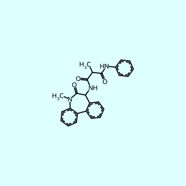 CC(C(=O)Nc1ccccc1)C(=O)NC1C(=O)N(C)c2ccccc2-c2ccccc21